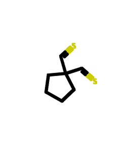 S=CC1(C=S)CCCC1